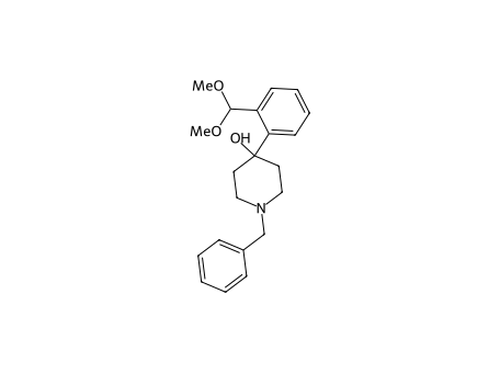 COC(OC)c1ccccc1C1(O)CCN(Cc2ccccc2)CC1